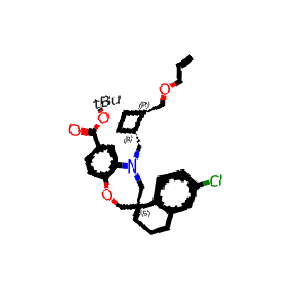 C=CCOC[C@@H]1CC[C@H]1CN1C[C@@]2(CCCc3cc(Cl)ccc32)COc2ccc(C(=O)OC(C)(C)C)cc21